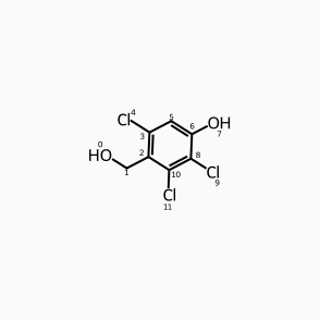 OCc1c(Cl)cc(O)c(Cl)c1Cl